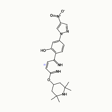 CC1(C)CC(OC(=N)/C=C\C(=N)c2ccc(-n3cc([N+](=O)[O-])cn3)cc2O)CC(C)(C)N1